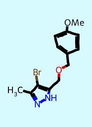 COc1ccc(COCc2[nH]nc(C)c2Br)cc1